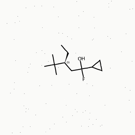 CC[C@@H](CC(O)(F)C1CC1)C(C)(C)C